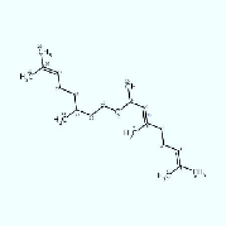 CC(C)=CCC/C(C)=C/C(O)OCCC(C)CCC=C(C)C